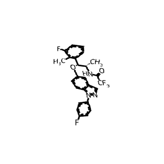 Cc1c(F)cccc1[C@@H](Oc1ccc2c(cnn2-c2ccc(F)cc2)c1)[C@H](C)NC(=O)C(F)(F)F